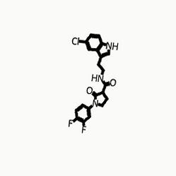 O=C(NCCc1c[nH]c2ccc(Cl)cc12)C1CCN(c2ccc(F)c(F)c2)C1=O